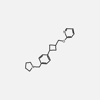 c1ccc(OCC2CC(c3ccc(CN4CCCC4)cc3)C2)nc1